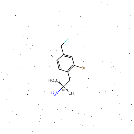 C[C@](N)(Cc1ccc(CF)cc1Br)C(=O)O